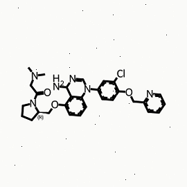 CN(C)CC(=O)N1CCC[C@@H]1COc1cccc2c1C(N)N=CN2c1ccc(OCc2ccccn2)c(Cl)c1